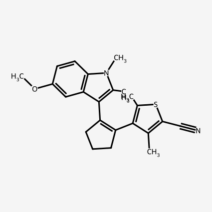 COc1ccc2c(c1)c(C1=C(c3c(C)sc(C#N)c3C)CCC1)c(C)n2C